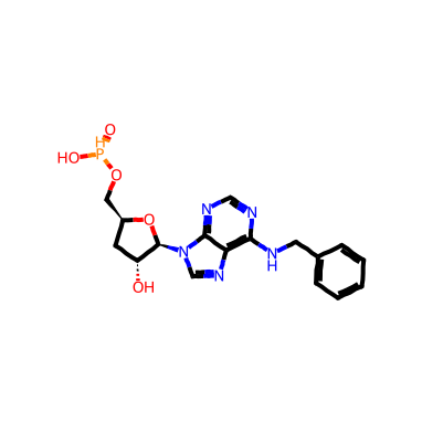 O=[PH](O)OC[C@@H]1C[C@@H](O)[C@H](n2cnc3c(NCc4ccccc4)ncnc32)O1